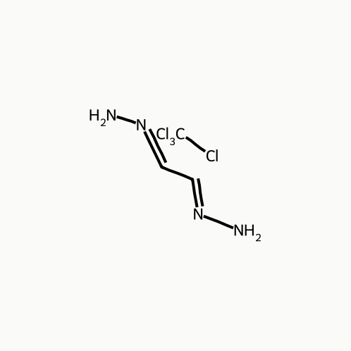 ClC(Cl)(Cl)Cl.NN=CC=NN